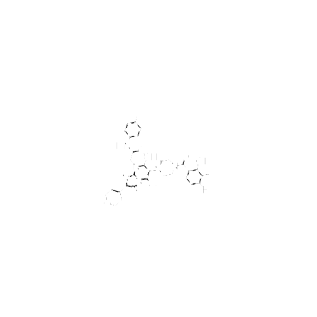 Cc1c(N2CCN(C(=O)c3ccc(F)c(F)c3O)CC2)c(=O)n2nc(C3=CCOCC3)nc2n1CC(=O)Nc1ccc(C(F)(F)F)cc1